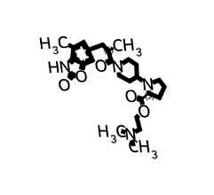 Cc1cc(C[C@@H](C)C(=O)N2CCC(N3CCC[C@H]3C(=O)OCCN(C)C)CC2)cc2oc(=O)[nH]c12